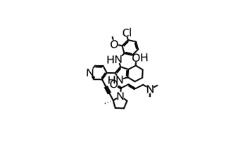 COc1c(Cl)cccc1Nc1c(-c2ccncc2C#C[C@]2(C)CCCN2C(=O)/C=C/CN(C)C)[nH]c2c1C(O)CCC2